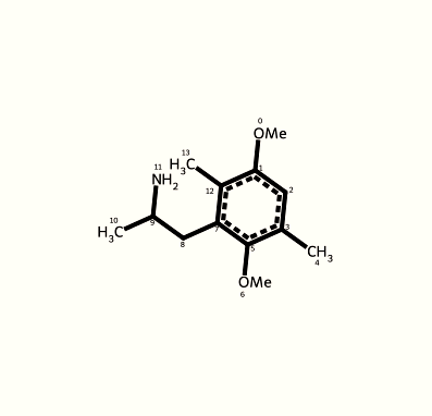 COc1cc(C)c(OC)c(CC(C)N)c1C